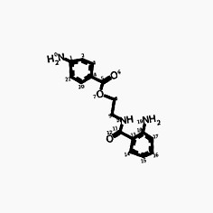 Nc1ccc(C(=O)OCCNC(=O)c2ccccc2N)cc1